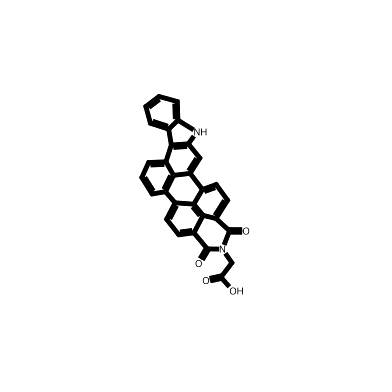 O=C(O)CN1C(=O)c2ccc3c4cccc5c6c(cc(c7ccc(c2c37)C1=O)c45)[nH]c1ccccc16